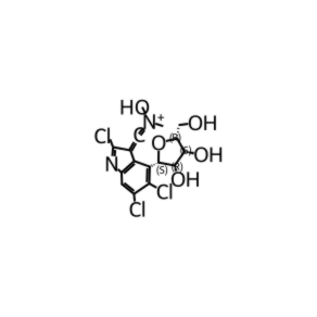 C[N+](O)=C=C1C(Cl)=Nc2cc(Cl)c(Cl)c([C@@H]3O[C@H](CO)[C@@H](O)[C@H]3O)c21